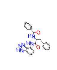 O=C(NC(Cc1ccccc1)C(=O)Nc1cccc2[nH]nnc12)c1ccccc1